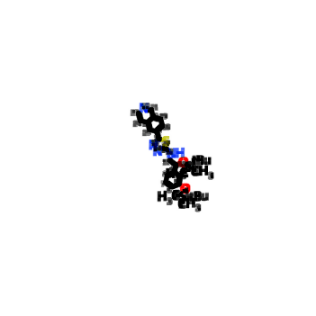 CC(C)(C)[Si](C)(C)Oc1cccc(C(CNc2nnc(-c3ccc4cnccc4c3)s2)O[Si](C)(C)C(C)(C)C)c1